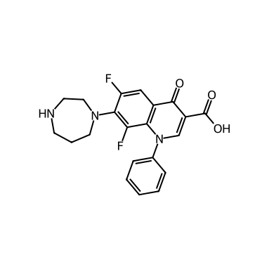 O=C(O)c1cn(-c2ccccc2)c2c(F)c(N3CCCNCC3)c(F)cc2c1=O